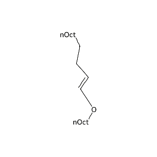 CCCCCCCCCCC=COCCCCCCCC